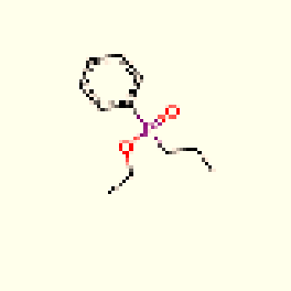 CCCP(=O)(OCC)c1ccccc1